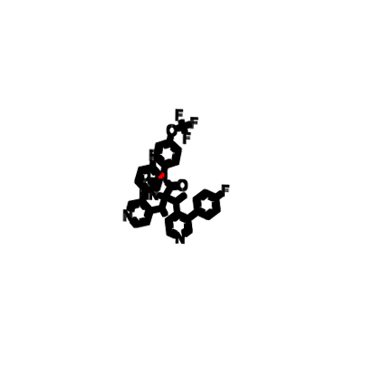 CC(c1ccncc1-c1ccc(F)cc1)C1(C(C)c2ccncc2-c2ccc(F)cc2)NC(=O)N(c2ccc(OC(F)(F)F)cc2)C1=O